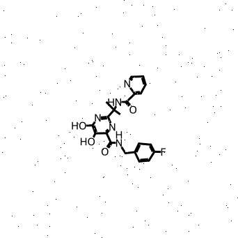 CC(C)(NC(=O)c1ccccn1)c1nc(O)c(O)c(C(=O)NCc2ccc(F)cc2)n1